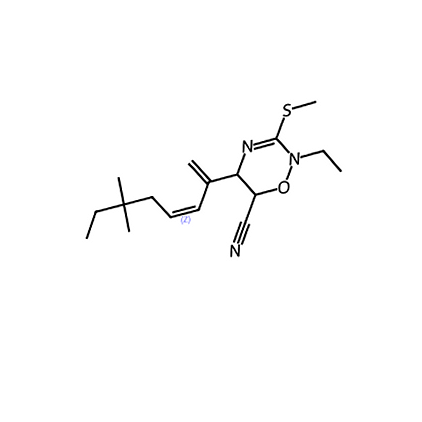 C=C(/C=C\CC(C)(C)CC)C1N=C(SC)N(CC)OC1C#N